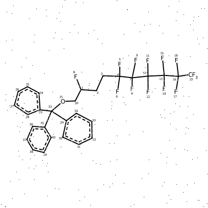 FC(CCC(F)(F)C(F)(F)C(F)(F)C(F)(F)C(F)(F)C(F)(F)F)COC(c1ccccc1)(c1ccccc1)c1ccccc1